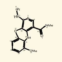 CCCNc1ncc(C(=O)NC)c2c1Oc1cccc(OC)c1N2